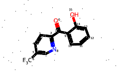 O=C(c1ccc(C(F)(F)F)cn1)c1ccccc1O